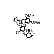 COc1ccc(CN(c2nccs2)S(=O)(=O)c2cc(Cl)c(N[C@H]3CCC(F)(F)CC3N)cc2F)c(OC)c1